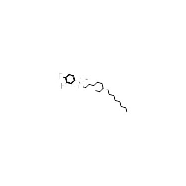 CCCCCCCC[C@H]1CC[C@H]([C@H]2CO[C@H](c3ccc(F)c(F)c3)OC2)CC1